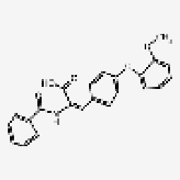 COc1ccccc1Oc1ccc(/C=C(/NC(=O)c2ccccc2)C(=O)O)cc1